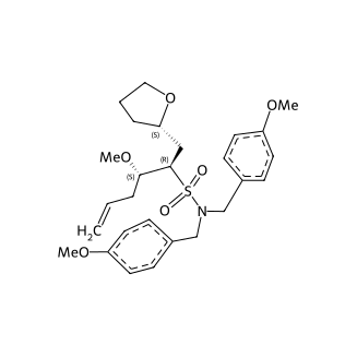 C=CC[C@H](OC)[C@@H](C[C@@H]1CCCO1)S(=O)(=O)N(Cc1ccc(OC)cc1)Cc1ccc(OC)cc1